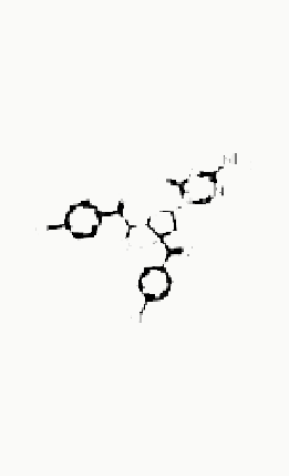 Nc1ncn([C@H]2C[C@@](O)(C(=O)c3ccc(Cl)cc3)[C@@H](C(O)C(=O)c3ccc(Cl)cc3)O2)c(=O)n1